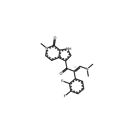 CN(C)/C=C(/C(=O)c1c[nH]c2c(=O)n(C)ccc12)c1cccc(F)c1F